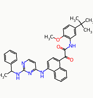 COc1ccc(C(C)(C)C)cc1NC(=O)C(=O)c1ccc(Nc2ccnc(NC(C)c3ccccc3)n2)c2ccccc12